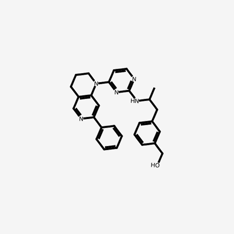 CC(Cc1cccc(CO)c1)Nc1nccc(N2CCCc3cnc(-c4ccccc4)cc32)n1